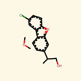 CC(CO)c1ccc2c(c1)oc1ccc(Cl)cc12.COC